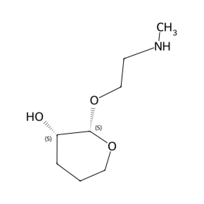 CNCCO[C@@H]1OCCC[C@@H]1O